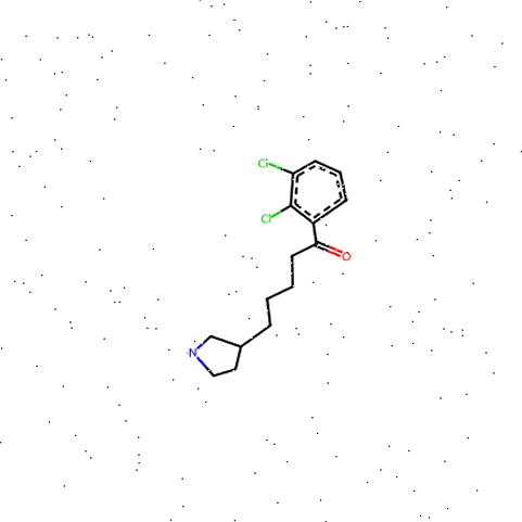 O=C(CCCCC1CC[N]C1)c1cccc(Cl)c1Cl